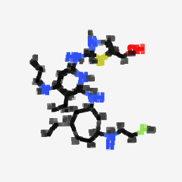 C=C/C=N\c1cc(Nc2ncc(CO)s2)nc(NC2CC(CC)CCC(NCCF)C2)c1CC